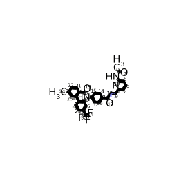 CC(=O)Nc1cccc(/C=C/C(=O)c2ccc(NC(=O)c3ccc(C)cc3-c3ccc(C(F)(F)F)cc3)cc2)n1